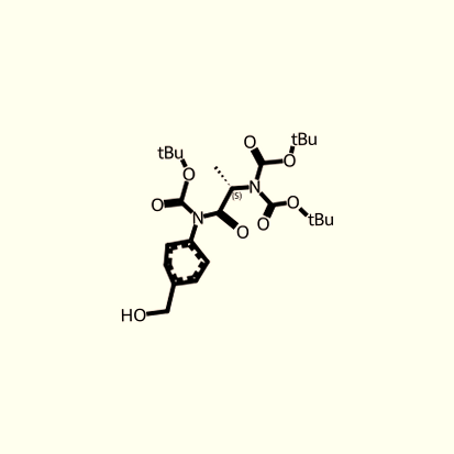 C[C@@H](C(=O)N(C(=O)OC(C)(C)C)c1ccc(CO)cc1)N(C(=O)OC(C)(C)C)C(=O)OC(C)(C)C